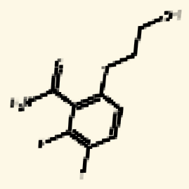 NC(=O)c1c([CH]CCO)ccc(F)c1F